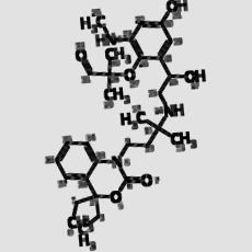 CCC1(CC)OC(=O)N(CCC(C)(C)NCC(O)c2cc(O)cc(NC)c2OC(C)(C)C=O)c2ccccc21